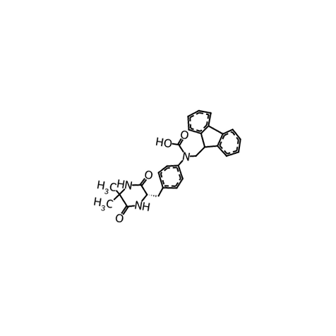 CC1(C)NC(=O)[C@H](Cc2ccc(N(CC3c4ccccc4-c4ccccc43)C(=O)O)cc2)NC1=O